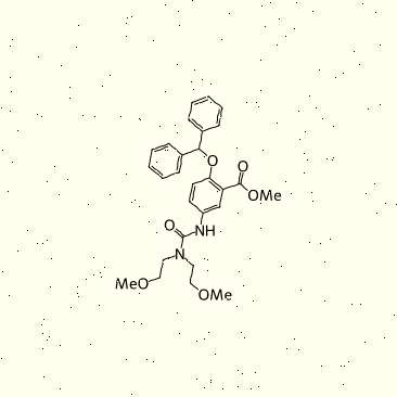 COCCN(CCOC)C(=O)Nc1ccc(OC(c2ccccc2)c2ccccc2)c(C(=O)OC)c1